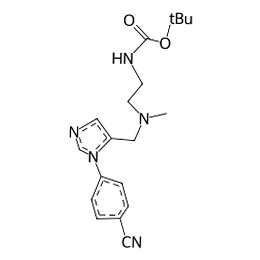 CN(CCNC(=O)OC(C)(C)C)Cc1cncn1-c1ccc(C#N)cc1